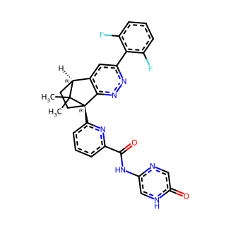 CC1(C)[C@H]2CC[C@@]1(c1cccc(C(=O)Nc3c[nH]c(=O)cn3)n1)c1nnc(-c3c(F)cccc3F)cc12